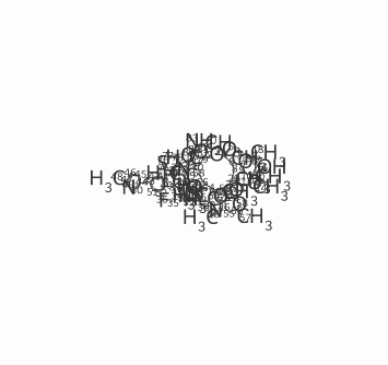 CC[C@H]1OC(=O)[C@H](C)C([C@H]2C[C@@](C)(OC)[C@@H](O)[C@H](C)O2)[C@H](C)[C@@H](O[C@H]2C[C@@H](N(C)CCc3cn([C@H](CF)[C@H](OC)c4ccc(-c5ccc(C)nc5)cc4)nn3)C[C@@H](C)O2)[C@](C)(OC)C[C@@H](C)C(=O)[C@H](C)[C@@H](CNC2CCSCC2)[C@]1(C)OC(N)=O